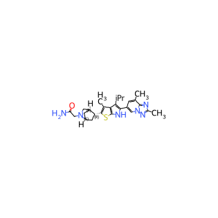 Cc1nc2c(C)cc(-c3[nH]c4sc([C@@H]5C[C@@H]6C[C@H]5CN6CC(N)=O)c(C)c4c3C(C)C)cn2n1